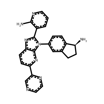 Nc1ncccc1-c1nc2ccc(-c3cnccn3)nc2n1-c1ccc2c(c1)CC[C@@H]2N